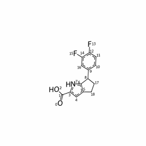 O=C(O)c1cc2c([nH]1)C(c1ccc(F)c(F)c1)CC2